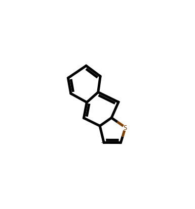 [C]1=CSC2C=c3ccccc3=CC12